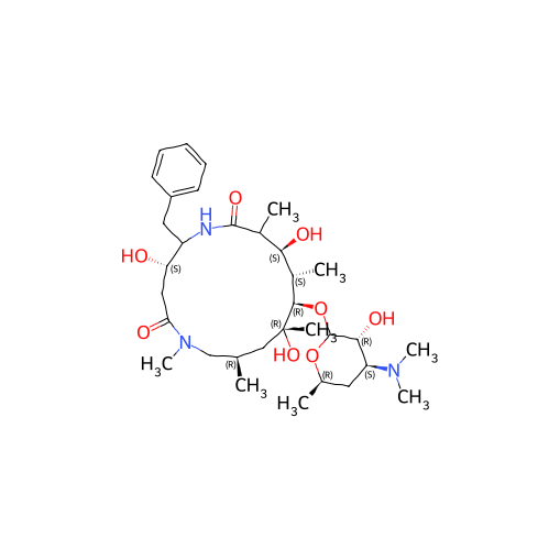 CC1C(=O)NC(Cc2ccccc2)[C@@H](O)CC(=O)N(C)C[C@H](C)C[C@@](C)(O)[C@H](OC2O[C@H](C)C[C@H](N(C)C)[C@H]2O)[C@@H](C)[C@@H]1O